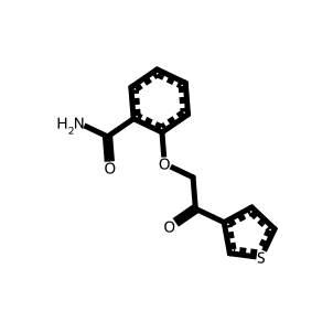 NC(=O)c1ccccc1OCC(=O)c1ccsc1